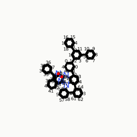 C1=C(c2cc(-c3ccccc3)cc(-c3ccccc3)c2)C=C2c3ccc4c(c3N(c3nc(-c5ccccc5)c5ccccc5n3)C2C1)N(c1ccccc1)c1ccccc1-c1ccccc1-4